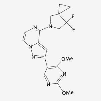 COc1ncc(-c2cc3c(N4CC(F)(F)C5(CC5)C4)nccn3n2)c(OC)n1